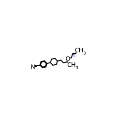 C/C=C/COC(C)CCC1CCC(c2ccc(C#N)cc2)CC1